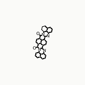 O=c1c2ccc3c(=O)n4c5cccc6cccc(nc4c4ccc(c2c34)c2nc3cccc4c3c(n12)CCC=4)c65